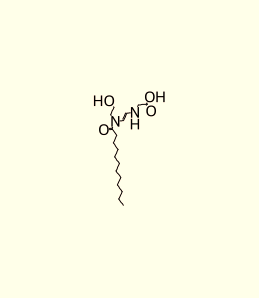 CCCCCCCCCCCC(=O)N(C=CNCC(=O)O)CCO